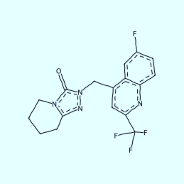 O=c1n(Cc2cc(C(F)(F)F)nc3ccc(F)cc23)nc2n1CCCC2